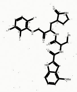 COc1cccc2[nH]c(C(=O)NC(CC(C)C)C(=O)NC(CC3CCNC3=O)C(=O)COc3c(F)ccc(F)c3F)cc12